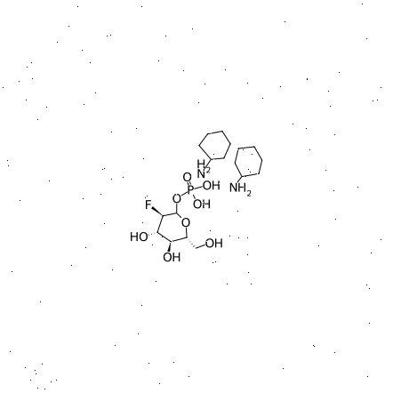 NC1CCCCC1.NC1CCCCC1.O=P(O)(O)OC1O[C@H](CO)[C@@H](O)[C@H](O)[C@H]1F